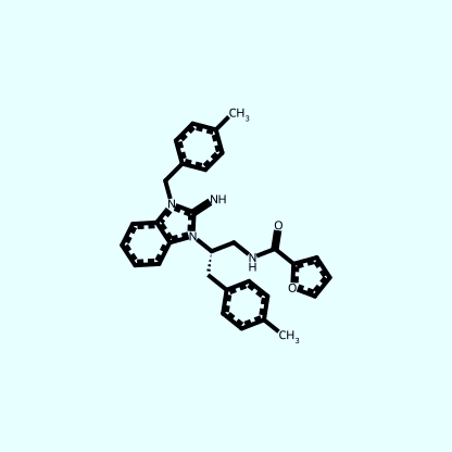 Cc1ccc(C[C@@H](CNC(=O)c2ccco2)n2c(=N)n(Cc3ccc(C)cc3)c3ccccc32)cc1